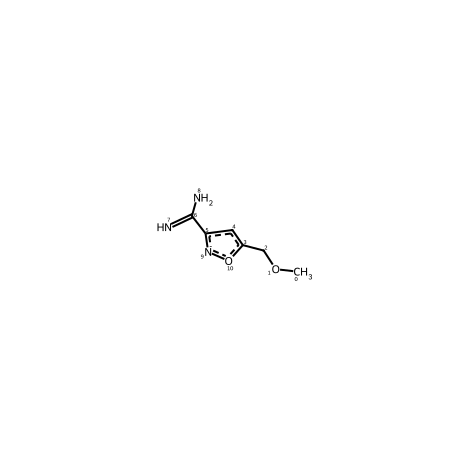 COCc1cc(C(=N)N)no1